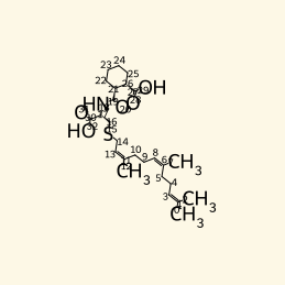 CC(C)=CCCC(C)=CCCC(C)=CCSC[C@H](NC(=O)[C@H]1CCCC[C@H]1C(=O)O)C(=O)O